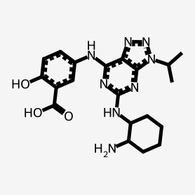 CC(C)n1nnc2c(Nc3ccc(O)c(C(=O)O)c3)nc(NC3CCCCC3N)nc21